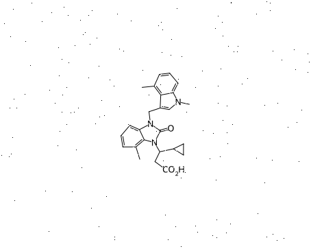 Cc1cccc2c1c(Cn1c(=O)n(C(CC(=O)O)C3CC3)c3c(C)cccc31)cn2C